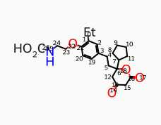 CCc1cc(CCC2(C3CCCC3)CC(=O)CC(=O)O2)ccc1OCCNC(=O)O